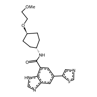 COCCO[C@H]1CC[C@H](NC(=O)c2cc(-c3cncs3)cc3nc[nH]c23)CC1